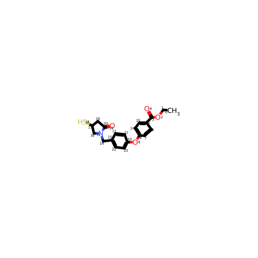 CCOC(=O)c1ccc(Oc2ccc(CN3CC(S)CC3=O)cc2)cc1